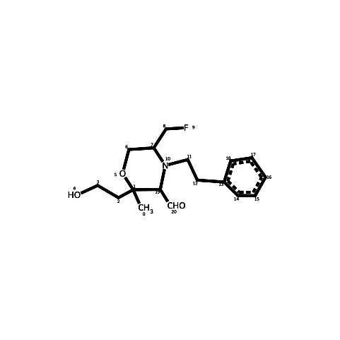 CC1(CCO)OCC(CF)N(CCc2ccccc2)C1C=O